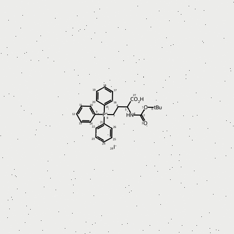 CC(C)(C)OC(=O)NC(CC[P+](c1ccccc1)(c1ccccc1)c1ccccc1)C(=O)O.[I-]